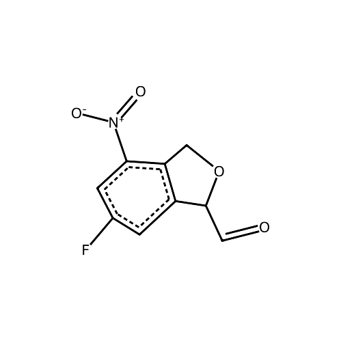 O=CC1OCc2c1cc(F)cc2[N+](=O)[O-]